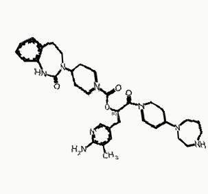 Cc1cc(C[C@@H](OC(=O)N2CCC(N3CCc4ccccc4NC3=O)CC2)C(=O)N2CCC(N3CCCNCC3)CC2)cnc1N